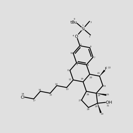 CC(C)(C)[Si](C)(C)Oc1ccc2c(c1)CC(CCCCCCl)C1C2[C@@H](F)C[C@@]2(C)C1CC[C@@]2(C)O